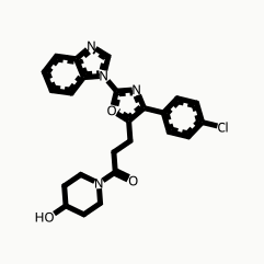 O=C(CCc1oc(-n2cnc3ccccc32)nc1-c1ccc(Cl)cc1)N1CCC(O)CC1